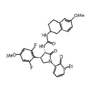 CCn1cccc(N2C[C@@H](c3c(F)cc(OC)cc3F)[C@H](NC(=O)NC3CCc4cc(OC)ccc4C3)C2=O)c1=O